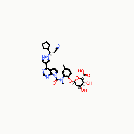 Cc1ccc(O[C@H]2C[C@@H](O)[C@H](O)[C@@H](C(=O)O)O2)c(N(C)C(=O)n2ccc3c(-c4cnn([C@H](CC#N)C5CCCC5)c4)ncnc32)c1